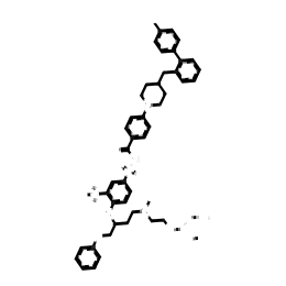 CN(CCOP(OC(C)(C)C)OC(C)(C)C)CCC(CSc1ccccc1)Nc1ccc(S(=O)(=O)NC(=O)c2ccc(N3CCC(Cc4ccccc4-c4ccc(Cl)cc4)CC3)cc2)cc1S(=O)(=O)C(F)(F)F